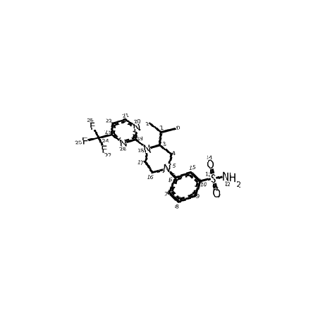 CC(C)C1CN(c2cccc(S(N)(=O)=O)c2)CCN1c1nccc(C(F)(F)F)n1